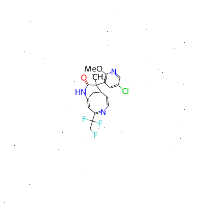 COc1ncc(Cl)cc1C1(C)C(=O)N/C2=C/C(C(F)(F)CF)=N\C=C/C1C2